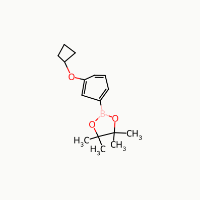 CC1(C)OB(c2cccc(OC3CCC3)c2)OC1(C)C